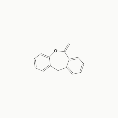 C=C1Oc2ccccc2Cc2ccccc21